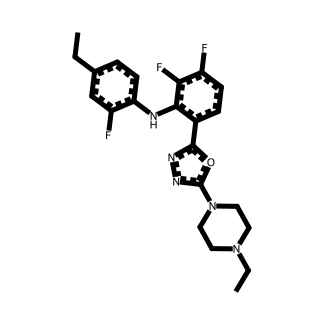 CCc1ccc(Nc2c(-c3nnc(N4CCN(CC)CC4)o3)ccc(F)c2F)c(F)c1